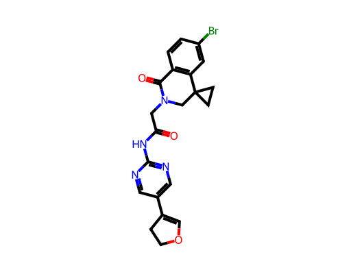 O=C(CN1CC2(CC2)c2cc(Br)ccc2C1=O)Nc1ncc(C2=COCC2)cn1